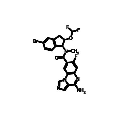 CN(C(=O)c1cc2c(cc1F)nc(N)c1cncn12)[C@H]1c2ccc(Br)cc2C[C@H]1OC(F)F